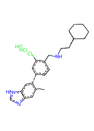 Cc1cc2nc[nH]c2cc1-c1ccc(CNCCC2CCCCC2)c(Cl)c1.Cl.Cl